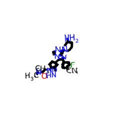 CN(C)C(=O)CNc1ccc(-c2c(-c3ccc(C#N)c(F)c3)nc3c(N4CCCC(N)C4)nccn23)cc1C=N